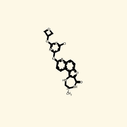 C[C@@H]1CNc2c(oc3ccc4nc(Oc5cc(Cl)nc(OC6COC6)n5)ccc4c23)C(=O)N1